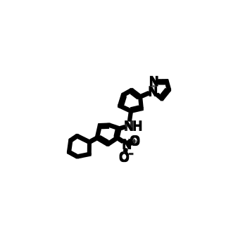 O=[N+]([O-])c1cc(C2CCCCC2)ccc1Nc1cccc(-n2cccn2)c1